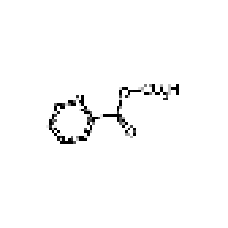 O=C(O)OC(=O)c1ccccn1